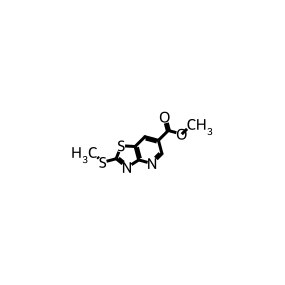 COC(=O)c1cnc2nc(SC)sc2c1